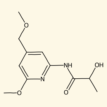 COCc1cc(NC(=O)C(C)O)nc(OC)c1